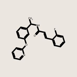 CC(NC(=O)/C=C/c1ccccc1F)c1cccc(Oc2ccccn2)c1